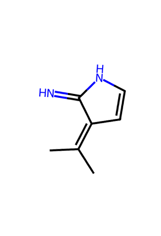 CC(C)=C1C=CNC1=N